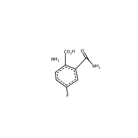 N.NC(=O)c1cc(F)ccc1C(=O)O